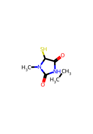 CC.CN1C(=O)NC(=O)C1S